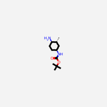 C[C@@H]1C[C@@H](NC(=O)OC(C)(C)C)CC[C@H]1N